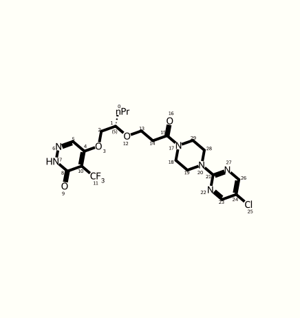 CCC[C@@H](COc1cn[nH]c(=O)c1C(F)(F)F)OCCC(=O)N1CCN(c2ncc(Cl)cn2)CC1